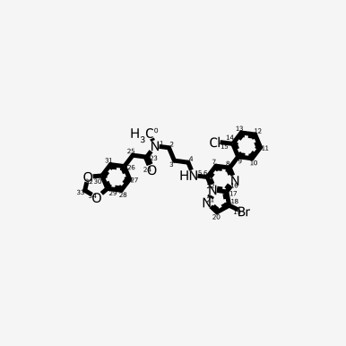 CN(CCCNc1cc(-c2ccccc2Cl)nc2c(Br)cnn12)C(=O)Cc1ccc2c(c1)OCO2